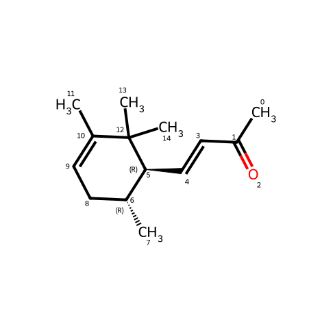 CC(=O)C=C[C@H]1[C@H](C)CC=C(C)C1(C)C